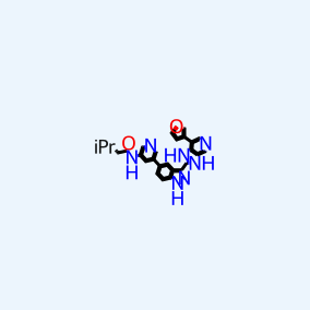 CC(C)CC(=O)Nc1cncc(-c2ccc3[nH]nc(C4Nc5cncc(-c6ccoc6)c5N4)c3c2)c1